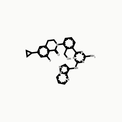 Nc1nc(Nc2cnn3cccnc23)nc(-c2cccc(N3CCc4cc(C5CC5)cc(F)c4C3=O)c2CO)n1